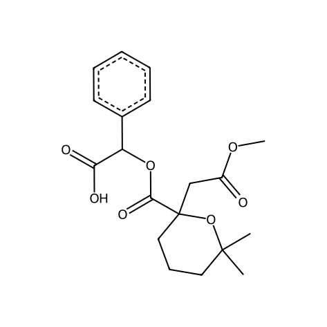 COC(=O)CC1(C(=O)OC(C(=O)O)c2ccccc2)CCCC(C)(C)O1